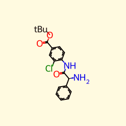 CC(C)(C)OC(=O)c1ccc(NC(=O)[C@@H](N)c2ccccc2)c(Cl)c1